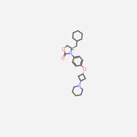 O=C1OC[C@@H](CC2CCCCC2)N1c1ccc(O[C@H]2C[C@H](N3CCCCC3)C2)cc1